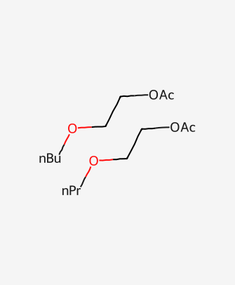 CCCCOCCOC(C)=O.CCCOCCOC(C)=O